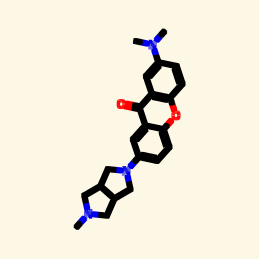 CN1CC2CN(c3ccc4oc5ccc(N(C)C)cc5c(=O)c4c3)CC2C1